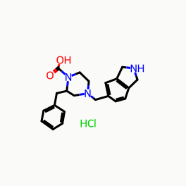 Cl.O=C(O)N1CCN(Cc2ccc3c(c2)CNC3)CC1Cc1ccccc1